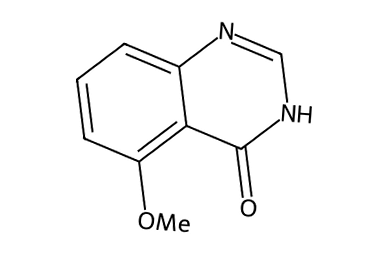 COc1cccc2nc[nH]c(=O)c12